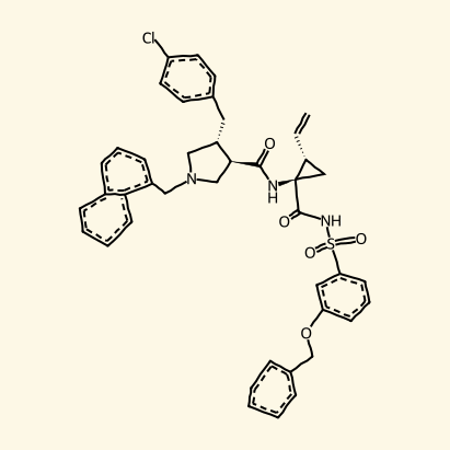 C=C[C@@H]1C[C@]1(NC(=O)[C@H]1CN(Cc2cccc3ccccc23)C[C@@H]1Cc1ccc(Cl)cc1)C(=O)NS(=O)(=O)c1cccc(OCc2ccccc2)c1